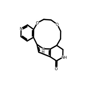 O=C1NCC2CCOCCOc3cnccc3-c3cc1c2[nH]3